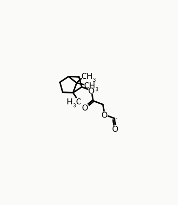 CC1(C)C2CCC1(C)C(OC(=O)CO[C]=O)C2